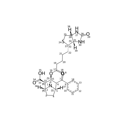 CN1[C@@H]2CC[C@H]1C(C(=O)c1ccccc1)[C@H](OC(=O)CCCC[C@@H]1SC[C@@H]3NC(=O)N[C@@H]31)[C@@H]2C(=O)O